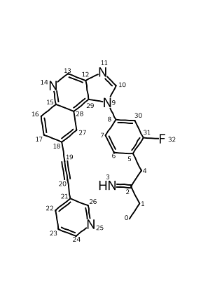 CCC(=N)Cc1ccc(-n2cnc3cnc4ccc(C#Cc5cccnc5)cc4c32)cc1F